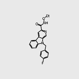 CCONC(=O)c1cc2c3ccccc3n(Cc3ccc(F)cc3)c2cn1